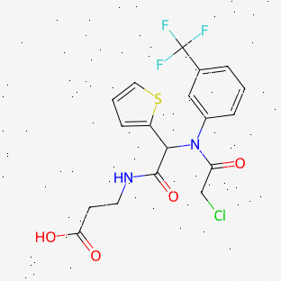 O=C(O)CCNC(=O)C(c1cccs1)N(C(=O)CCl)c1cccc(C(F)(F)F)c1